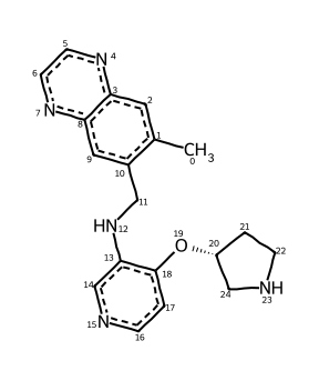 Cc1cc2nccnc2cc1CNc1cnccc1O[C@@H]1CCNC1